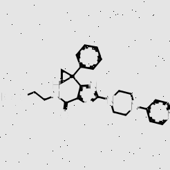 O=C(O)CCNC(=O)c1sc(N2CCN(c3ccncc3)CC2)nc1C1(c2ccccc2)CC1